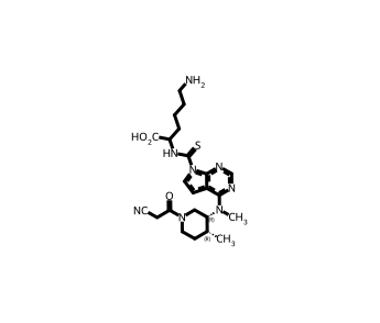 C[C@@H]1CCN(C(=O)CC#N)C[C@@H]1N(C)c1ncnc2c1ccn2C(=S)NC(CCCCN)C(=O)O